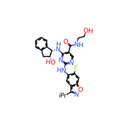 CC(C)c1noc2cc(F)c(Nc3ncc(C(=O)NCCO)c(N[C@H]4c5ccccc5C[C@H]4O)n3)cc12